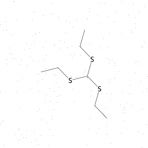 CCS[C](SCC)SCC